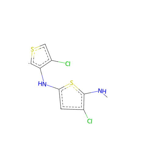 CNc1sc(Nc2[c]scc2Cl)cc1Cl